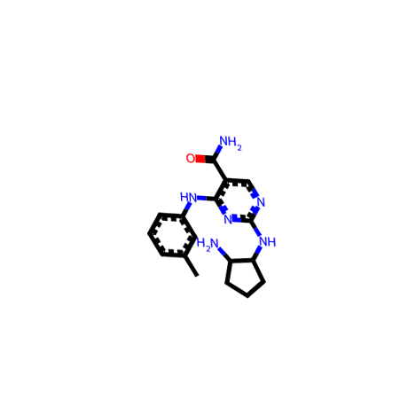 Cc1cccc(Nc2nc(NC3CCCC3N)ncc2C(N)=O)c1